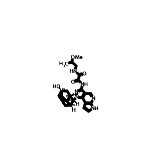 COC(C)CNC(=O)C(=O)Nc1nn([C@H]2[C@@H]3CC4C[C@H]2C[C@@](O)(C4)C3)c2c1cnc1[nH]ccc12